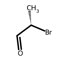 C[C@H](Br)C=O